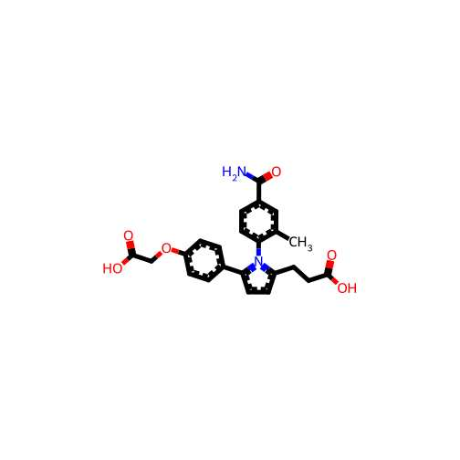 Cc1cc(C(N)=O)ccc1-n1c(CCC(=O)O)ccc1-c1ccc(OCC(=O)O)cc1